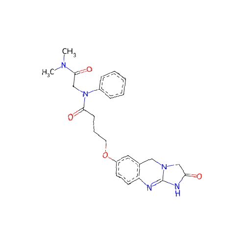 CN(C)C(=O)CN(C(=O)CCCOc1ccc2c(c1)CN1CC(=O)NC1=N2)c1ccccc1